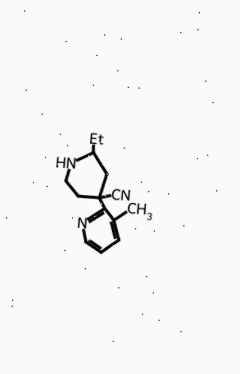 CCC1CC(C#N)(c2ncccc2C)CCN1